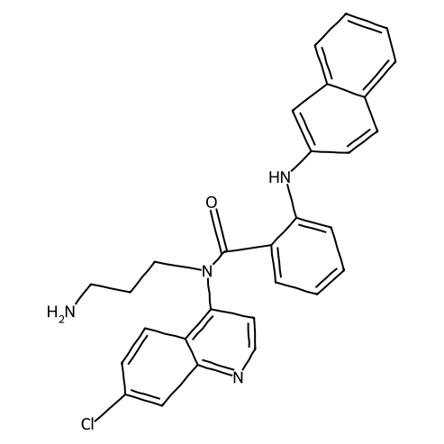 NCCCN(C(=O)c1ccccc1Nc1ccc2ccccc2c1)c1ccnc2cc(Cl)ccc12